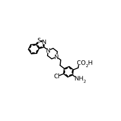 Nc1cc(Cl)c(CCN2CCN(c3nsc4ccccc34)CC2)cc1CC(=O)O